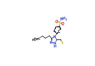 CCCCCCCCCCCCCC1=NNC(C=S)N1c1ccc(S(N)(=O)=O)cc1